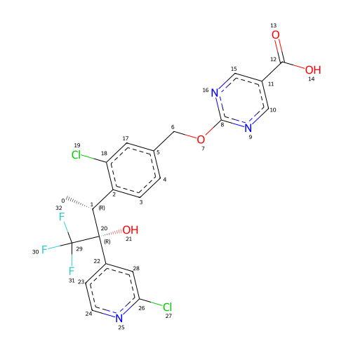 C[C@H](c1ccc(COc2ncc(C(=O)O)cn2)cc1Cl)[C@@](O)(c1ccnc(Cl)c1)C(F)(F)F